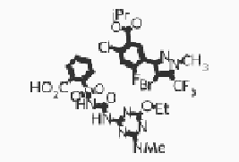 CC(C)OC(=O)c1cc(-c2nn(C)c(C(F)(F)F)c2Br)c(F)cc1Cl.CCOc1nc(NC)nc(NC(=O)NS(=O)(=O)c2ccccc2C(=O)O)n1